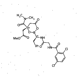 COC(=O)C[C@@]1(C(=O)N(C)C)CC(=O)OB([C@H](CC(C)C)NC(=O)CNC(=O)c2cc(Cl)ccc2Cl)O1